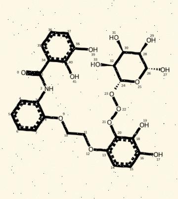 O=C(Nc1ccccc1OCCOc1ccc(O)c(O)c1OOO[C@H]1O[C@@H](O)[C@H](O)[C@H](O)[C@@H]1O)c1cccc(O)c1O